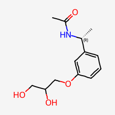 CC(=O)N[C@H](C)c1cccc(OCC(O)CO)c1